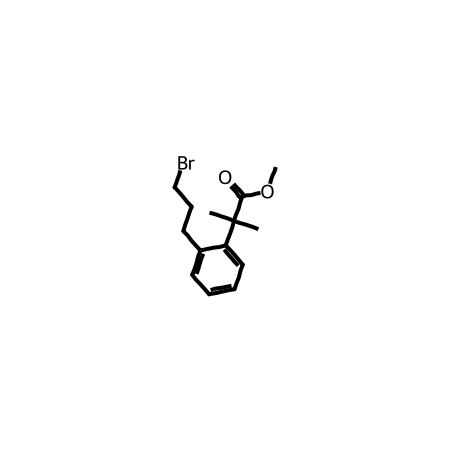 COC(=O)C(C)(C)c1ccccc1CCCBr